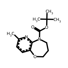 Cc1ccc2c(n1)N(C(=O)OC(C)(C)C)CCCO2